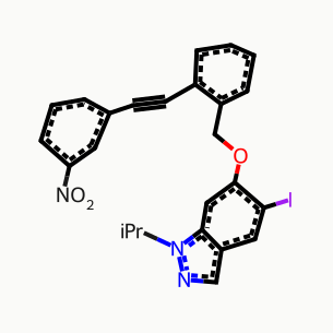 CC(C)n1ncc2cc(I)c(OCc3ccccc3C#Cc3cccc([N+](=O)[O-])c3)cc21